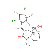 CC1=C2CCC[C@@H](O)[C@@]2(C)CC(=C(F)c2c(F)c(F)c(F)c(F)c2F)C1=O